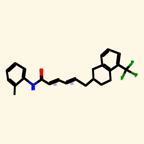 Cc1ccccc1NC(=O)/C=C/C=C/CC1CCc2c(cccc2C(F)(F)F)C1